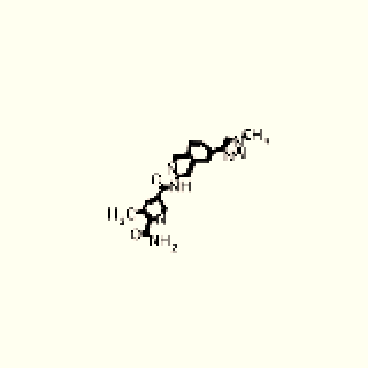 Cc1cc(C(=O)Nc2cc3cc(-c4cn(C)nn4)ccc3cn2)cnc1C(N)=O